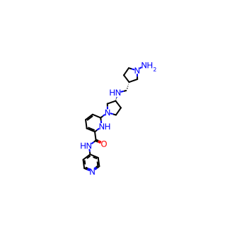 NN1CC[C@@H](CN[C@@H]2CCN(C3C=CC=C(C(=O)Nc4ccncc4)N3)C2)C1